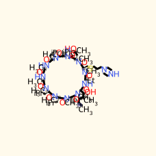 C/C=C/C[C@@H](C)[C@@H](O)[C@H]1C(=O)N[C@@H](CC)C(=O)N(C)[C@H](CSCCCN2CCNCC2)C(=O)N(C)[C@@H](CC(C)(C)O)C(=O)N[C@@H](C(C)C)C(=O)N(C)[C@@H](CC(C)C)C(=O)N[C@@H](C)C(=O)N[C@H](C)C(=O)N(C)[C@@H](CC(C)C)C(=O)N(C)[C@@H](CC(C)C)C(=O)N(C)[C@@H](C(C)C)C(=O)N1C